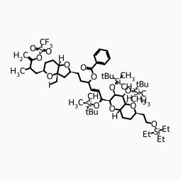 C=C(OS(=O)(=O)C(F)(F)F)C(C)C[C@H]1CC[C@@H]2O[C@@H](CCC(C=CC(O[Si](C)(C)C(C)(C)C)[C@@H]3O[C@H]4CC[C@H](CCO[Si](CC)(CC)CC)O[C@@H]4[C@H](O[Si](C)(C)C(C)(C)C)[C@@H]3O[Si](C)(C)C(C)(C)C)OC(=O)c3ccccc3)C[C@]2(CI)O1